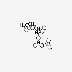 CC1(C)c2ccccc2-c2cc(-c3nc(-c4ccc(-n5c6ccccc6c6ccc(-n7c8ccccc8c8ccccc87)cc65)cc4)c4ccc5ccccc5c4n3)ccc21